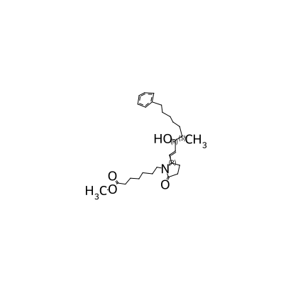 COC(=O)CCCCCCN1C(=O)CC[C@@H]1C=C[C@H](O)[C@@H](C)CCCCCc1ccccc1